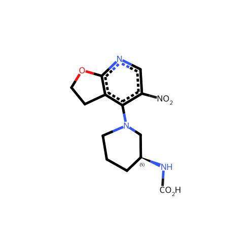 O=C(O)N[C@H]1CCCN(c2c([N+](=O)[O-])cnc3c2CCO3)C1